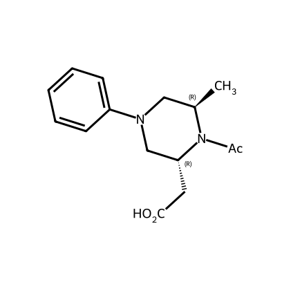 CC(=O)N1[C@H](CC(=O)O)CN(c2ccccc2)C[C@H]1C